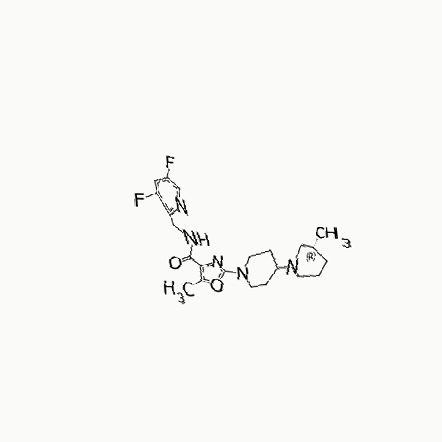 Cc1oc(N2CCC(N3CCC[C@@H](C)C3)CC2)nc1C(=O)NCc1ncc(F)cc1F